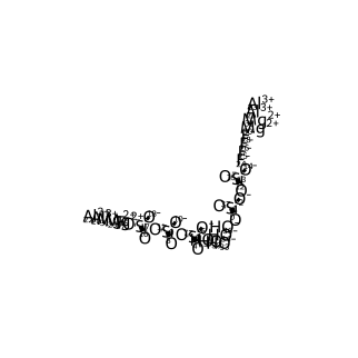 O=[Si]([O-])[O-].O=[Si]([O-])[O-].O=[Si]([O-])[O-].O=[Si]([O-])[O-].O=[Si]([O-])[O-].[Al+3].[Al+3].[Al+3].[Al+3].[F-].[F-].[F-].[F-].[F-].[Mg+2].[Mg+2].[Mg+2].[Mg+2].[OH-].[OH-].[OH-].[OH-].[OH-]